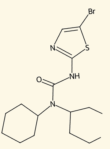 O=C(Nc1ncc(Br)s1)N(C1CCCCC1)C1CCCCC1